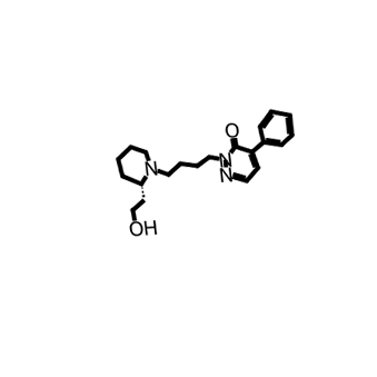 O=c1c(-c2ccccc2)ccnn1CCCCN1CCCC[C@H]1CCO